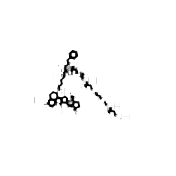 CC[C@@]1(O)CCc2c1cc1n(c2=O)Cc2c-1nc1cc(F)c(C)c3c1c2[C@@H](NC(=O)CCCNNC(=O)C(Cc1ccccc1)NC(=O)CNC(=O)CNC(=O)CCOCCOCCNC(=O)CCN)CC3